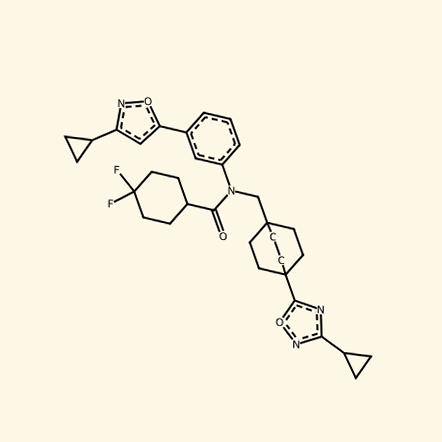 O=C(C1CCC(F)(F)CC1)N(CC12CCC(c3nc(C4CC4)no3)(CC1)CC2)c1cccc(-c2cc(C3CC3)no2)c1